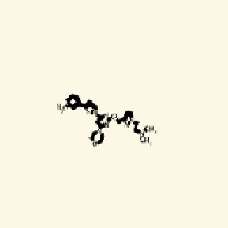 Cc1cccc(-c2ccn(-c3cc(N4CCOCC4)nc(OCc4ccn(CCN(C)C)n4)n3)n2)c1